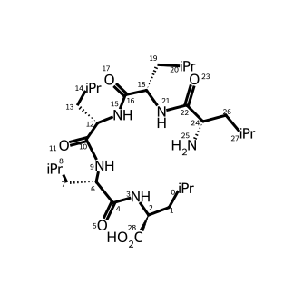 CC(C)C[C@H](NC(=O)[C@H](CC(C)C)NC(=O)[C@H](CC(C)C)NC(=O)[C@H](CC(C)C)NC(=O)[C@@H](N)CC(C)C)C(=O)O